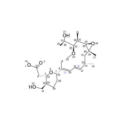 COC(=O)C[C@@H]1O[C@H](/C(C)=C/C=C/[C@@H](C)C[C@@]2(C)O[C@@H]2[C@H](C)[C@@H](OC)[C@@H](C)O)CC[C@H]1CO